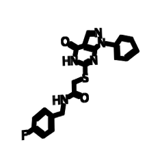 O=C(CSc1nc2c(cnn2-c2ccccc2)c(=O)[nH]1)NCc1ccc(F)cc1